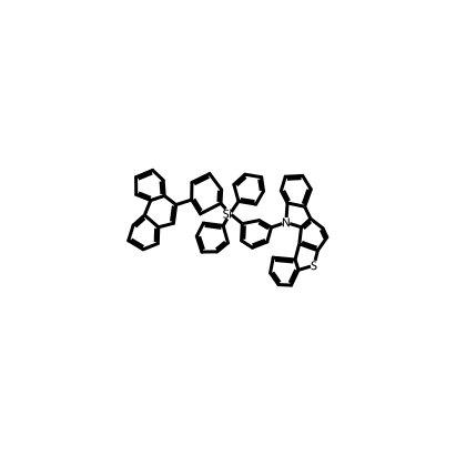 c1ccc([Si](c2ccccc2)(c2cccc(-c3cc4ccccc4c4ccccc34)c2)c2cccc(-n3c4ccccc4c4ccc5sc6ccccc6c5c43)c2)cc1